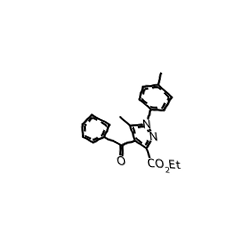 CCOC(=O)c1nn(-c2ccc(C)cc2)c(C)c1C(=O)c1ccccc1